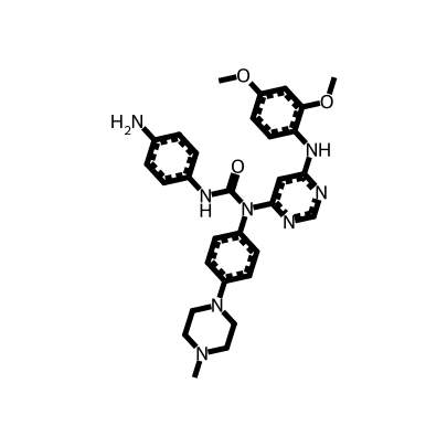 COc1ccc(Nc2cc(N(C(=O)Nc3ccc(N)cc3)c3ccc(N4CCN(C)CC4)cc3)ncn2)c(OC)c1